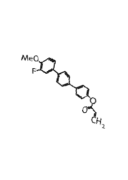 C=CC(=O)Oc1ccc(-c2ccc(-c3ccc(OC)c(F)c3)cc2)cc1